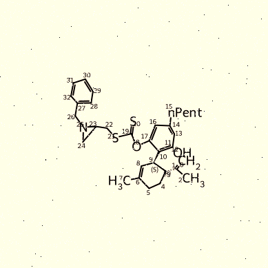 C=C(C)[C@@H]1CCC(C)=C[C@H]1c1c(O)cc(CCCCC)cc1OC(=S)SCC1CN1Cc1ccccc1